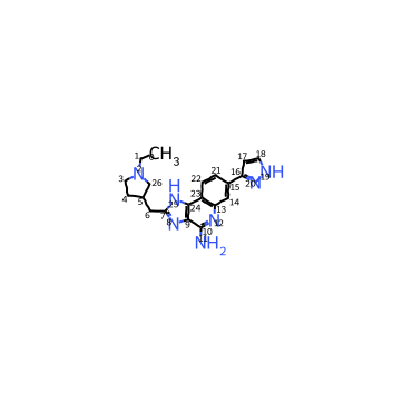 CCN1CCC(Cc2nc3c(N)nc4cc(-c5cc[nH]n5)ccc4c3[nH]2)C1